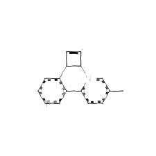 Cc1ccc2[n+](c1)C1C=CC1c1ccccc1-2